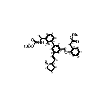 CC(NC(=O)OC(C)(C)C)c1cccc(-c2cc(/C=C/C3CCCN3C)cc(COc3ccccc3CC(=O)OC(C)(C)C)c2)c1F